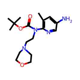 Cc1cc(N)cnc1N(CCN1CCOCC1)C(=O)OC(C)(C)C